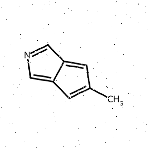 CC1=CC2=CN=[C]C2=C1